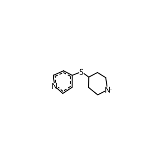 c1cc(SC2CC[N]CC2)ccn1